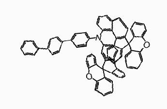 c1ccc(-c2ccc(-c3ccc(N(c4ccc5c(c4)C4(c6ccccc6Oc6ccccc64)c4ccccc4-5)c4cccc5ccc6c(c45)-c4ccccc4C64c5ccccc5Oc5ccccc54)cc3)cc2)cc1